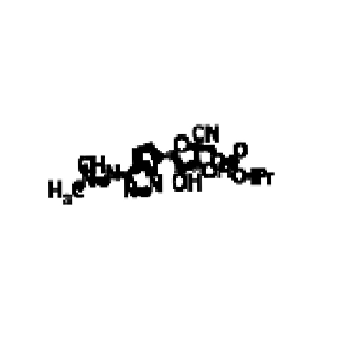 CC(C)OC(=O)OC[C@@]1(C#N)O[C@@H](c2ccc3c(N=CN(C)C)ncnn23)[C@H](O)[C@@H]1O